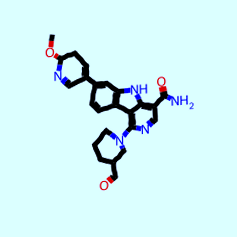 COC1CC=C(c2ccc3c(c2)[nH]c2c(C(N)=O)cnc(N4CCCC(C=O)C4)c23)C=N1